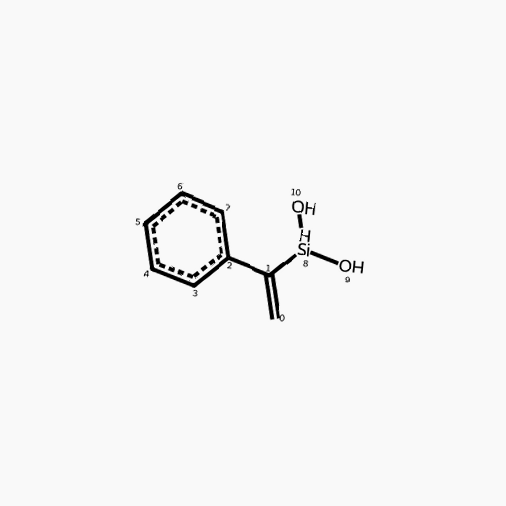 C=C(c1ccccc1)[SiH](O)O